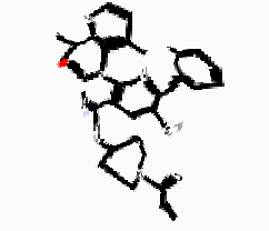 C=CC(=O)N1CCC(O/C(=N/C)c2cc(Cl)c(-c3ccccc3F)nc2N(C=O)c2c(C)ccnc2C(C)C)CC1